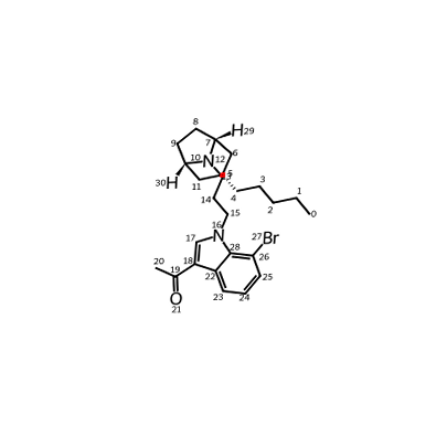 CCCCC[C@H]1C[C@H]2CC[C@@H](C1)N2CCCn1cc(C(C)=O)c2cccc(Br)c21